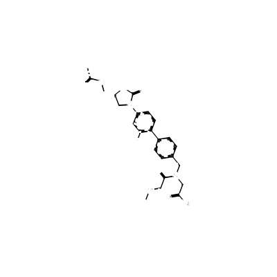 CNCC(=O)N(CC(N)=O)Cc1ccc(-c2ccc(N3C[C@H](CNC(C)=O)OC3=O)cc2F)cc1